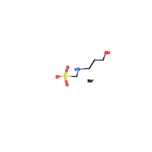 O=S(=O)([O-])CNCCCO.[Na+]